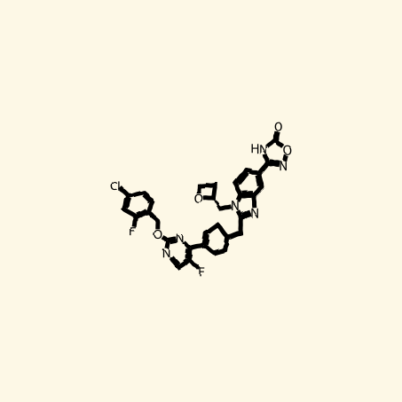 O=c1[nH]c(-c2ccc3c(c2)nc(CC2CC=C(c4nc(OCc5ccc(Cl)cc5F)ncc4F)CC2)n3C[C@@H]2CCO2)no1